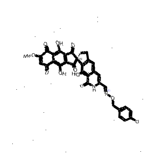 COC1=CC(=O)c2c(O)c3c(c(O)c2C1=O)C(=O)[C@]1(CCc2cc4cc(/C=N/OCc5ccc(Cl)cc5)[nH]c(=O)c4c(O)c21)C3=O